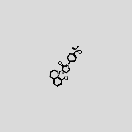 C=S(C)(=O)C1=CC=C(N2CC[C@H](N3CCCc4cccc(Cl)c43)C2=O)CC1